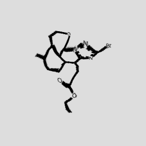 CCOC(=O)CC1c2nc(Br)nn2C2OCCC3=C2C1(C)C=CC3C